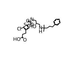 CN(CC(O)CNC(C)(C)CCCc1ccccc1)S(=O)(=O)c1cc(CCC(=O)O)c(Cl)s1